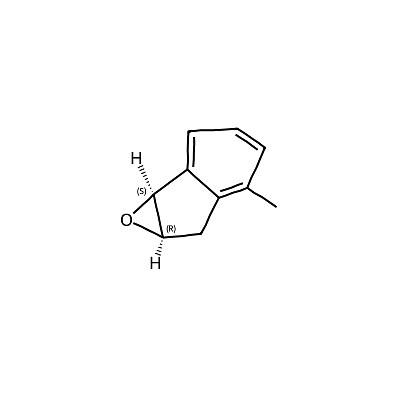 Cc1cccc2c1C[C@H]1O[C@@H]21